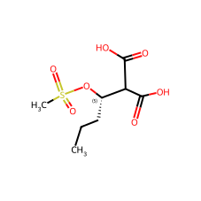 CCC[C@H](OS(C)(=O)=O)C(C(=O)O)C(=O)O